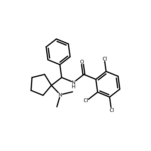 CN(C)C1(C(NC(=O)c2c(Cl)ccc(Cl)c2Cl)c2ccccc2)CCCC1